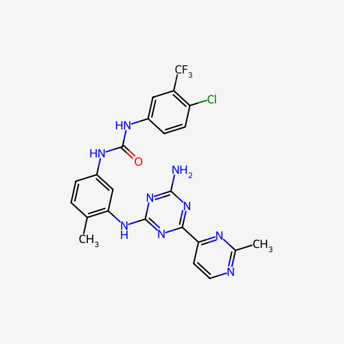 Cc1nccc(-c2nc(N)nc(Nc3cc(NC(=O)Nc4ccc(Cl)c(C(F)(F)F)c4)ccc3C)n2)n1